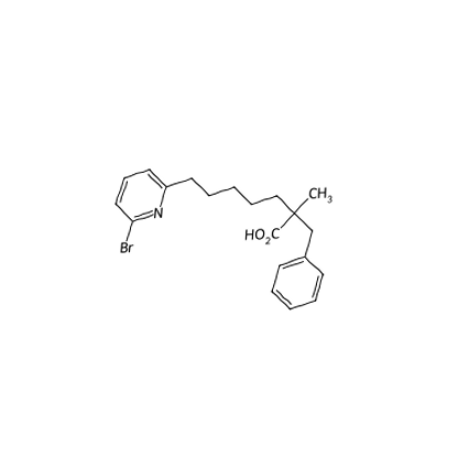 CC(CCCCCc1cccc(Br)n1)(Cc1ccccc1)C(=O)O